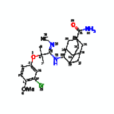 COc1ccc(OC(C)(C)C(=NC#N)NC2C3CC4CC2CC(C(N)=O)(C4)C3)cc1Br